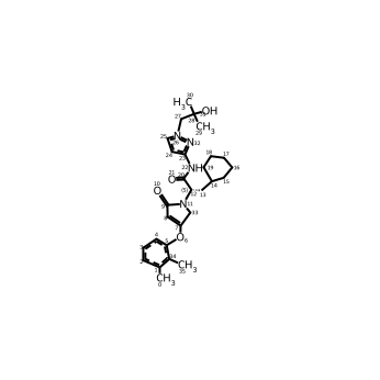 Cc1cccc(OC2=CC(=O)N([C@@H](CC3CCCCC3)C(=O)Nc3ccn(CC(C)(C)O)n3)C2)c1C